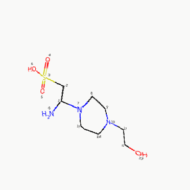 NC(CS(=O)(=O)O)N1CCN(CCO)CC1